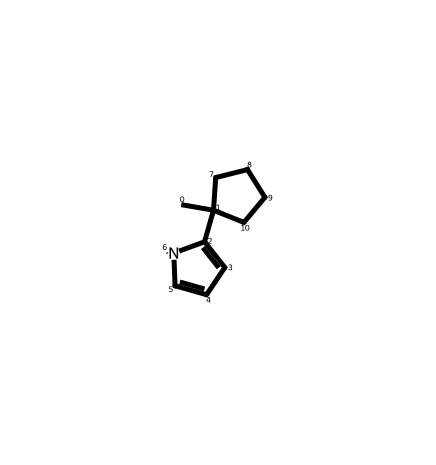 CC1(C2=CC=C[N]2)CCCC1